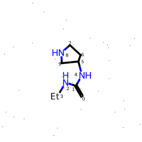 C=C(NCC)NC1CCNC1